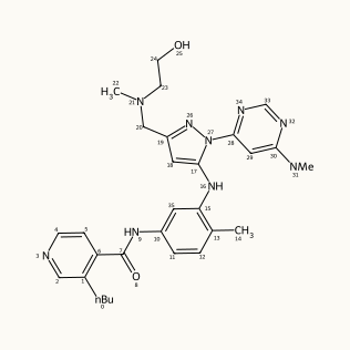 CCCCc1cnccc1C(=O)Nc1ccc(C)c(Nc2cc(CN(C)CCO)nn2-c2cc(NC)ncn2)c1